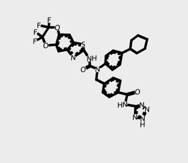 O=C(Nc1nn[nH]n1)c1ccc(CN(C(=O)Nc2nc3cc4c(cc3s2)OC(F)(F)C(F)(F)O4)c2ccc(C3CCCCC3)cc2)cc1